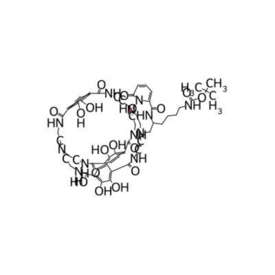 CC(C)(C)OC(=O)NCCCCC(CN1CCNC(=O)c2ccc(c(O)c2O)C(O)NCCN2CCNC(=O)c3ccc(c(O)c3O)C(=O)NCCN(CCNC(=O)c3ccc(c(O)c3O)C(=O)NCC2)CC1)NC(=O)c1cccc(=O)n1O